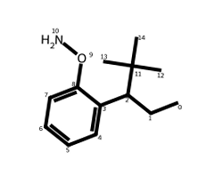 CCC(c1ccccc1ON)C(C)(C)C